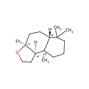 CC[C@]12CC[C@@H]3C(C)(C)CCC[C@@]3(C)[C@H]1CCO2